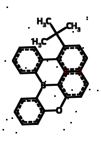 CC(C)(C)c1ccccc1-c1ccccc1B1c2ccccc2Oc2ccccc21